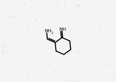 N=C1CCCC/C1=C/N